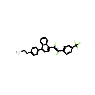 CCCc1ccc(-c2ccc(/C(F)=C(\F)c3ccc(C(F)(F)F)cc3)c3ccccc23)cc1